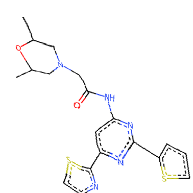 CC1CN(CC(=O)Nc2cc(-c3nccs3)nc(-c3cccs3)n2)CC(C)O1